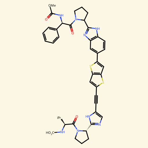 COC(=O)N[C@@H](C(=O)N1CCCC1c1nc2cc(-c3cc4sc(C#Cc5cnc([C@@H]6CCCN6C(=O)[C@@H](NC(=O)O)C(C)C)[nH]5)cc4s3)ccc2[nH]1)c1ccccc1